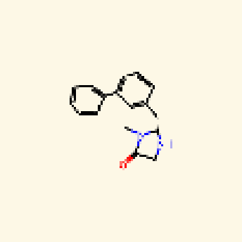 CN1C(=O)CN[C@H]1Cc1cccc(-c2ccccc2)c1